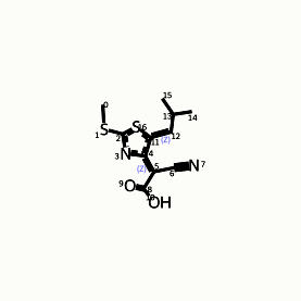 CSc1nc(=C(/C#N)C(=O)O)/c(=C/C(C)C)s1